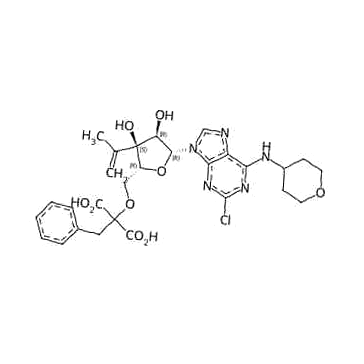 C=C(C)[C@@]1(O)[C@@H](COC(Cc2ccccc2)(C(=O)O)C(=O)O)O[C@@H](n2cnc3c(NC4CCOCC4)nc(Cl)nc32)[C@@H]1O